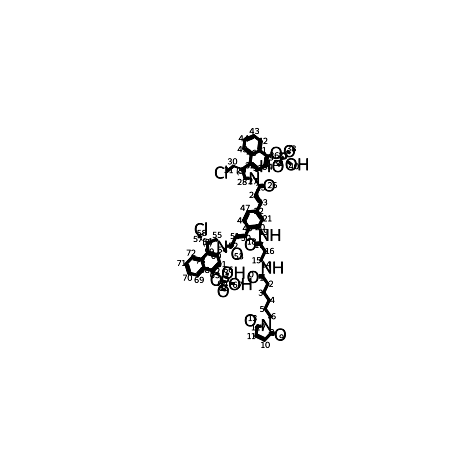 O=C(CCCCCN1C(=O)C=CC1=O)NCCC(=O)Nc1cc(C=CC(=O)N2C[C@@H](CCl)c3c2cc(OP(=O)(O)O)c2ccccc32)ccc1C=CC(=O)N1C[C@@H](CCl)c2c1cc(OP(=O)(O)O)c1ccccc21